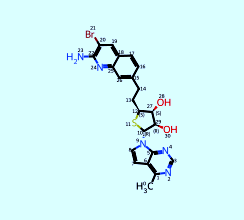 Cc1ncnc2c1ccn2[C@@H]1S[C@@H](CCc2ccc3cc(Br)c(N)nc3c2)[C@@H](O)[C@H]1O